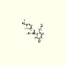 COc1ccc(CNc2nc(Cl)c(C)cc2CC=O)c(OC)c1